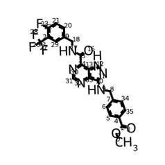 COC(=O)c1ccc(CNc2n[nH]c3c(C(=O)NCc4ccc(F)c(C(F)(F)F)c4)ncnc23)cc1